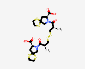 C[C@H](CSSC[C@@H](C)C(=O)N1CC2(C[C@H]1C(=O)O)SCCS2)C(=O)N1CC2(C[C@H]1C(=O)O)SCCS2